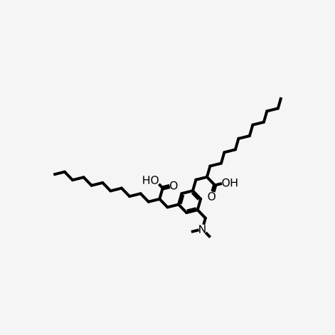 CCCCCCCCCCCC(Cc1cc(CC(CCCCCCCCCCC)C(=O)O)cc(CN(C)C)c1)C(=O)O